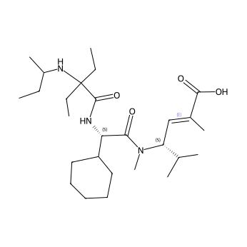 CCC(C)NC(CC)(CC)C(=O)N[C@H](C(=O)N(C)[C@H](/C=C(\C)C(=O)O)C(C)C)C1CCCCC1